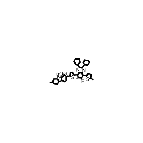 CCCCCCCCn1c2cc(C)ccc2c2ccc(-c3ccc(-c4c(F)c(F)c(-c5ccc(C)s5)c5nc(-c6ccccc6)c(-c6ccccc6)nc45)s3)cc21